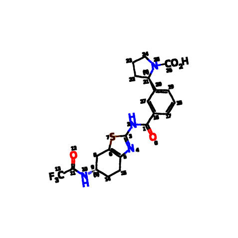 O=C(Nc1nc2c(s1)C[C@@H](NC(=O)C(F)(F)F)CC2)c1cccc([C@H]2CCCN2C(=O)O)c1